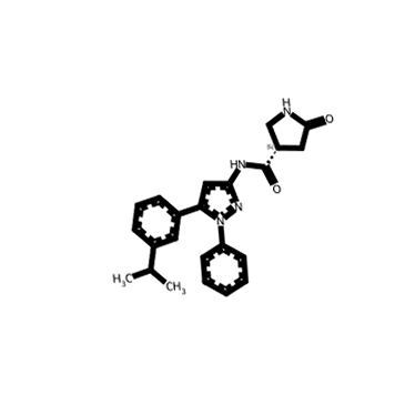 CC(C)c1cccc(-c2cc(NC(=O)[C@@H]3CNC(=O)C3)nn2-c2ccccc2)c1